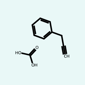 C#CCc1ccccc1.O=C(O)O